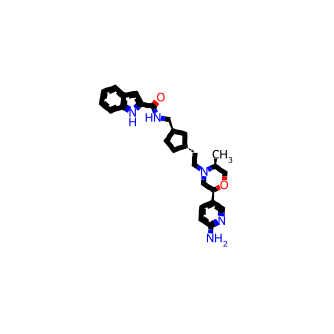 C[C@H]1CO[C@@H](c2ccc(N)nc2)CN1CC[C@@H]1CC[C@@H](CNC(=O)c2cc3ccccc3[nH]2)C1